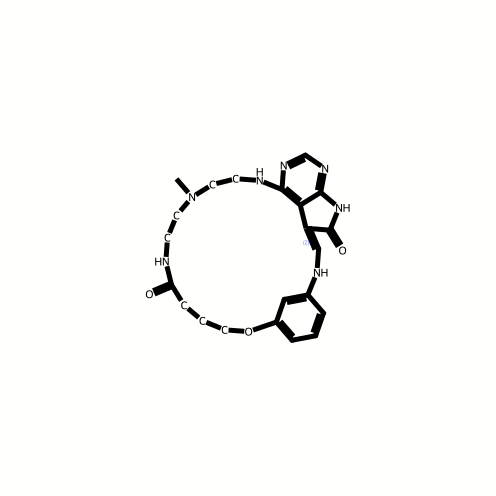 CN1CCNC(=O)CCCOc2cccc(c2)N/C=C2\C(=O)Nc3ncnc(c32)NCC1